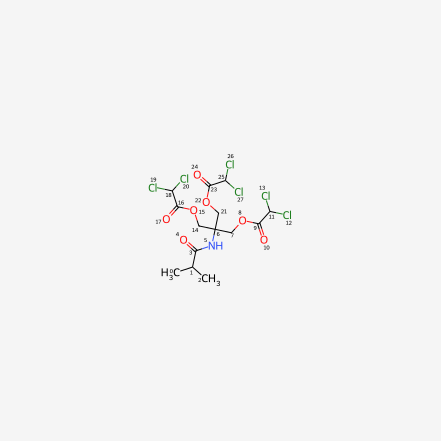 CC(C)C(=O)NC(COC(=O)C(Cl)Cl)(COC(=O)C(Cl)Cl)COC(=O)C(Cl)Cl